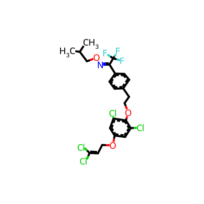 CC(C)CON=C(c1ccc(CCOc2c(Cl)cc(OCC=C(Cl)Cl)cc2Cl)cc1)C(F)(F)F